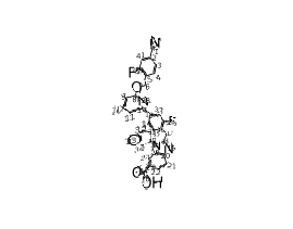 N#Cc1ccc(COc2cccc(-c3ccc(Cc4nc5ccc(C(=O)O)cc5n4[C@@H]4CCOC4)c(F)c3)n2)c(F)c1